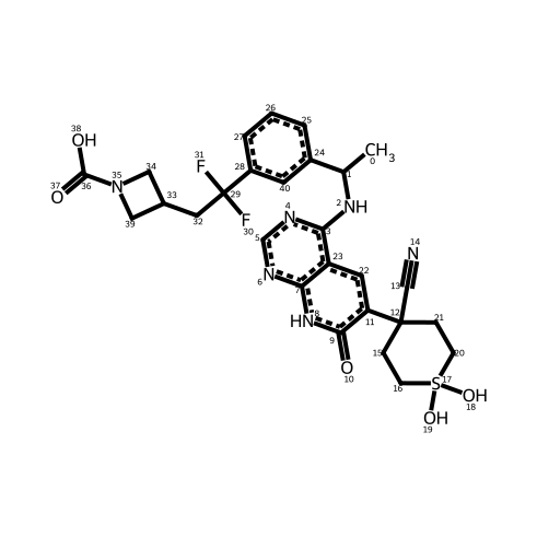 CC(Nc1ncnc2[nH]c(=O)c(C3(C#N)CCS(O)(O)CC3)cc12)c1cccc(C(F)(F)CC2CN(C(=O)O)C2)c1